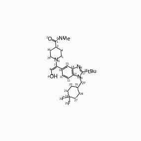 CNC(=O)C1CCN(/C(=C/O)c2ccc3c(c2)nc(C(C)(C)C)n3CC2CCC(F)(F)CC2)CC1